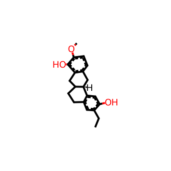 CCc1cc2c(cc1O)[C@@H]1Cc3ccc(OC)c(O)c3CC1CC2